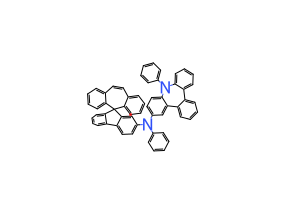 C1=Cc2ccccc2C2(c3ccccc31)c1ccccc1-c1ccc(N(c3ccccc3)c3ccc4c(c3)-c3ccccc3-c3ccccc3N4c3ccccc3)cc12